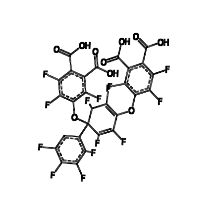 O=C(O)c1c(F)c(F)c(OC2=C(F)C(F)C(Oc3c(F)c(F)c(C(=O)O)c(C(=O)O)c3F)(c3cc(F)c(F)c(F)c3F)C(F)=C2F)c(F)c1C(=O)O